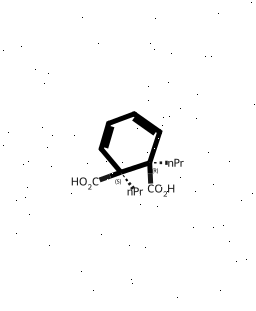 CCC[C@]1(C(=O)O)C=CC=C[C@@]1(CCC)C(=O)O